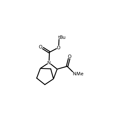 CNC(=O)C1C2CCC(C2)N1C(=O)OC(C)(C)C